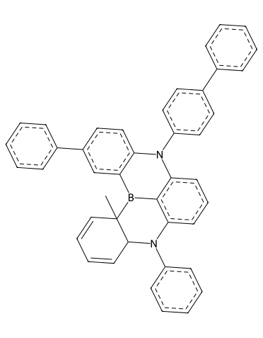 CC12C=CC=CC1N(c1ccccc1)c1cccc3c1B2c1cc(-c2ccccc2)ccc1N3c1ccc(-c2ccccc2)cc1